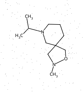 CC(C)N1CCCC2(CON(C)C2)C1